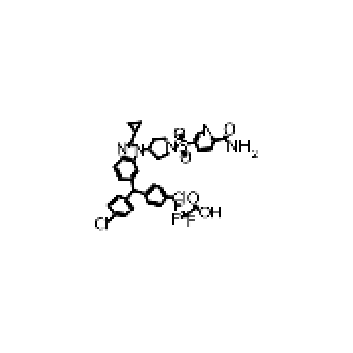 NC(=O)c1ccc(S(=O)(=O)N2CCC(n3c(C4CC4)nc4ccc(C(c5ccc(Cl)cc5)c5ccc(Cl)cc5)cc43)CC2)cn1.O=C(O)C(F)(F)F